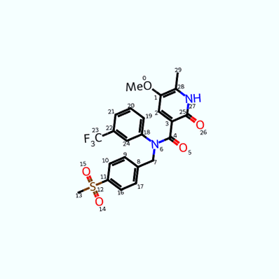 COc1cc(C(=O)N(Cc2ccc(S(C)(=O)=O)cc2)c2cccc(C(F)(F)F)c2)c(=O)[nH]c1C